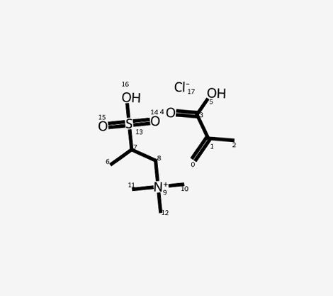 C=C(C)C(=O)O.CC(C[N+](C)(C)C)S(=O)(=O)O.[Cl-]